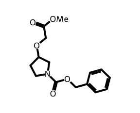 COC(=O)COC1CCN(C(=O)OCc2ccccc2)C1